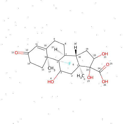 C[C@]12CC(O)[C@]3(F)[C@@H](CCC4=CC(=O)CC[C@@]43C)[C@@H]1CC(O)C2(O)C(=O)O